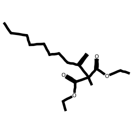 C=C(CCCCCCCC)C(C)(C(=O)OCC)C(=O)OCC